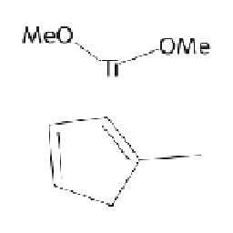 CC1=CC=CC1.C[O][Ti][O]C